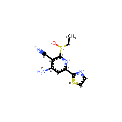 CC[S+]([O-])c1nc(-c2nccs2)cc(N)c1C#N